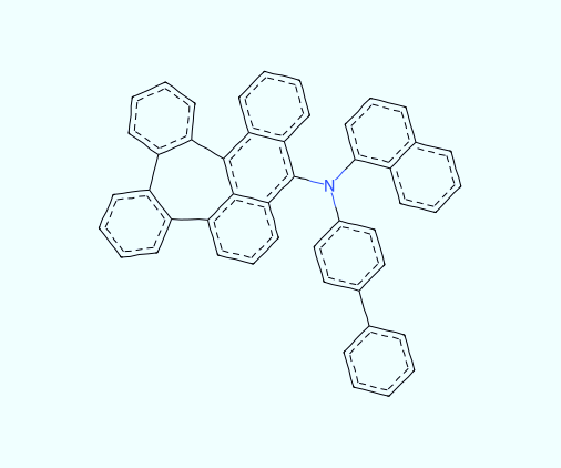 c1ccc(-c2ccc(N(c3cccc4ccccc34)c3c4ccccc4c4c5c(cccc35)-c3ccccc3-c3ccccc3-4)cc2)cc1